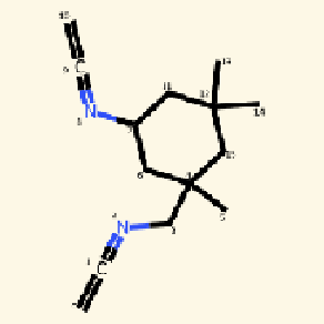 C=C=NCC1(C)CC(N=C=C)CC(C)(C)C1